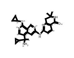 CC1(C)Cc2nc(Nc3cc4c(C(C)(N)C5CC5)cnc(OC5CC5)c4cn3)ccc2C(=O)N1